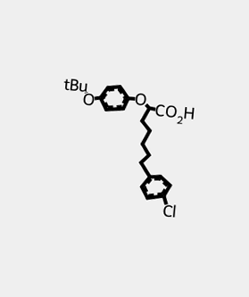 CC(C)(C)Oc1ccc(OC(CCCCCc2ccc(Cl)cc2)C(=O)O)cc1